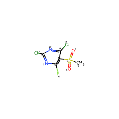 CS(=O)(=O)c1c(F)nc(Cl)nc1Cl